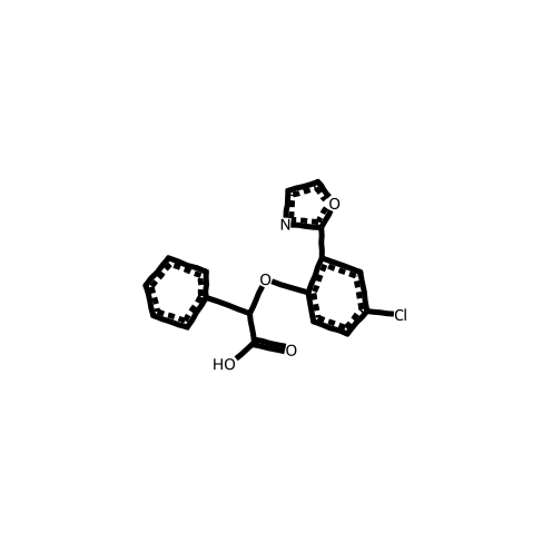 O=C(O)C(Oc1ccc(Cl)cc1-c1ncco1)c1ccccc1